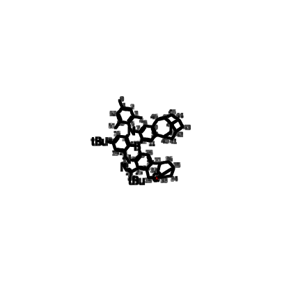 Cc1cc(C)c(N2c3cc4c(cc3B3c5c2cc(C(C)(C)C)cc5-n2nc(C(C)(C)C)c5c6c(cc3c52)C2CC3CC(C2)CC6C3)C2CC3CC5CC4CC35C2)c(C)c1